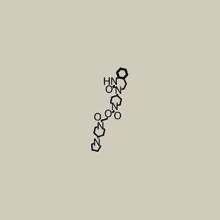 O=C(COC(=O)N1CCC(N2CCc3ccccc3NC2=O)CC1)N1CCC(N2CCCC2)CC1